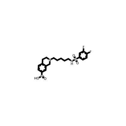 O=[N+](O)c1ccc2c(c1)CN(CCCCCNS(=O)(=O)c1ccc(F)c(F)c1)CC2